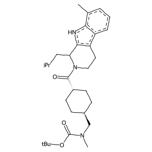 Cc1cccc2c3c([nH]c12)C(CC(C)C)N(C(=O)[C@H]1CC[C@H](CN(C)C(=O)OC(C)(C)C)CC1)CC3